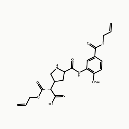 C=CCOC(=O)c1ccc(OC)c(NC(=O)C2C[C@@H]([C@@H](C(=O)OCC=C)C(O)=S)CN2)c1